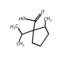 CC(C)C1(C(=O)O)CCCC1C